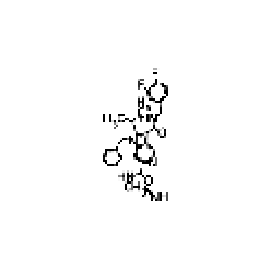 CNC(OC=N)c1cc2c(cn1)c(C(=O)NCc1ccc(F)c(F)c1)c(C(C)C)n2Cc1ccccc1